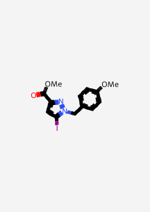 COC(=O)c1cc(I)n(Cc2ccc(OC)cc2)n1